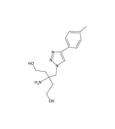 Cc1ccc(-c2cn(CC(N)(CCO)CCO)nn2)cc1